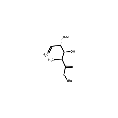 C=C[C@H](OC)[C@@H](O)[C@H](C)C(=O)SC(C)(C)C